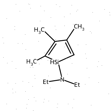 CCN(CC)[SiH]1C=C(C)C(C)=C1C